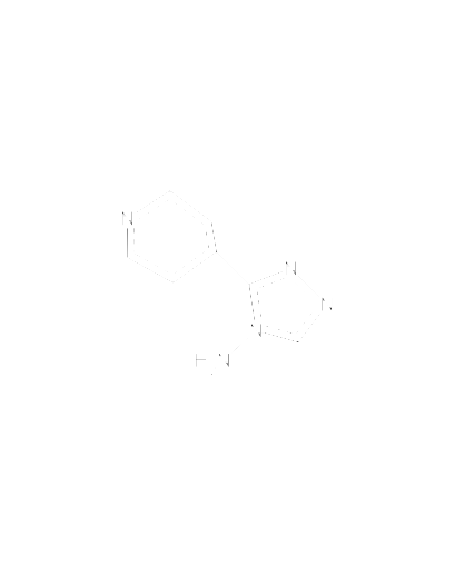 Nn1cnnc1-c1ccncc1